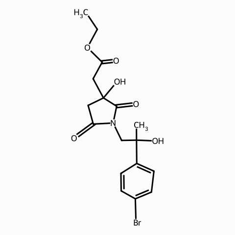 CCOC(=O)CC1(O)CC(=O)N(CC(C)(O)c2ccc(Br)cc2)C1=O